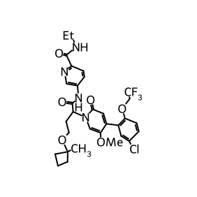 CCNC(=O)c1ccc(NC(=O)C(CCOC2(C)CCC2)n2cc(OC)c(-c3cc(Cl)ccc3OCC(F)(F)F)cc2=O)cn1